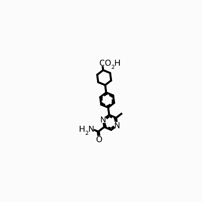 Cc1ncc(C(N)=O)nc1-c1ccc(C2CCC(C(=O)O)CC2)cc1